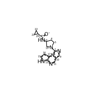 [O-][S+](NC1CCN(c2ncc3cnc4[nH]ccc4n23)C1)C1CC1